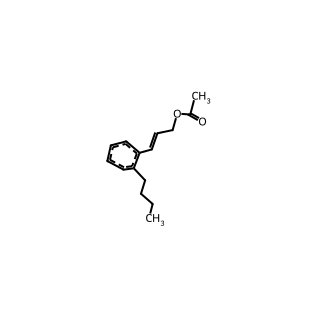 CCCCc1ccccc1C=CCOC(C)=O